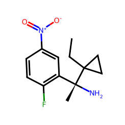 CCC1([C@](C)(N)c2cc([N+](=O)[O-])ccc2F)CC1